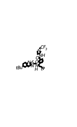 CN(C)CCC(NC(=O)c1nc2cc3c(nc2s1)CC[C@H](C(C)(C)C)C3)c1cccc(C(=O)NC2CCN(CC(F)(F)F)C2)c1